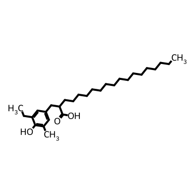 CCCCCCCCCCCCCCCCCC(Cc1cc(C)c(O)c(CC)c1)C(=O)O